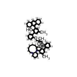 C=C1CCCCC/C=C2/CCCC/C2=C/1c1cc(C)cc(-c2ccccc2OCC(C)(C)COc2ccccc2-c2cc(C)cc(-c3c4c(cc5c3CCCC5)CCCC4)c2O)c1O